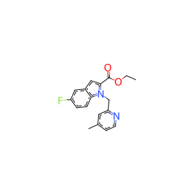 CCOC(=O)c1cc2cc(F)ccc2n1Cc1cc(C)ccn1